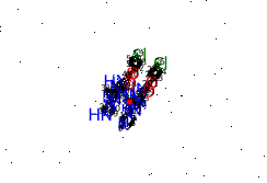 Cc1nc(N2CCCN(C)CC2)nc2ncc(NC(=O)COc3ccc(Cl)cc3)nc12.Cc1nc(N2CCNCC2)nc2ncc(NC(=O)COc3ccc(Cl)cc3)nc12